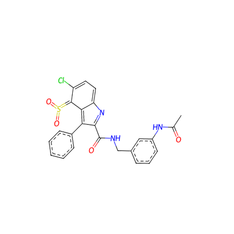 CC(=O)Nc1cccc(CNC(=O)C2=NC3=CC=C(Cl)C(=S(=O)=O)C3=C2c2ccccc2)c1